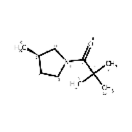 C[C@@H]1CCN(C(=O)C(C)(C)C)C1